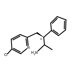 CC(N)[C@@H](Cc1ccc(Cl)cn1)c1ccccc1